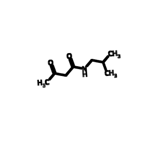 CC(=O)CC(=O)NCC(C)C